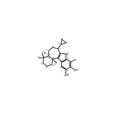 Cc1c(O)c(O)cc2c3c([nH]c12)C(C1CC1)CC[C@@H]1C(C)(C)CCC[C@@]31C